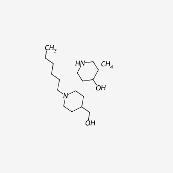 C.CCCCCCN1CCC(CO)CC1.OC1CCNCC1